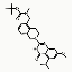 COc1cc(C(C)C)c2c(=O)[nH]c(N3CCc4c(CN(C)C(=O)OC(C)(C)C)cccc4C3)nc2c1